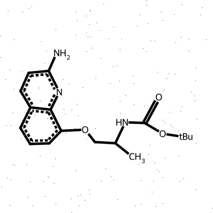 CC(COc1cccc2ccc(N)nc12)NC(=O)OC(C)(C)C